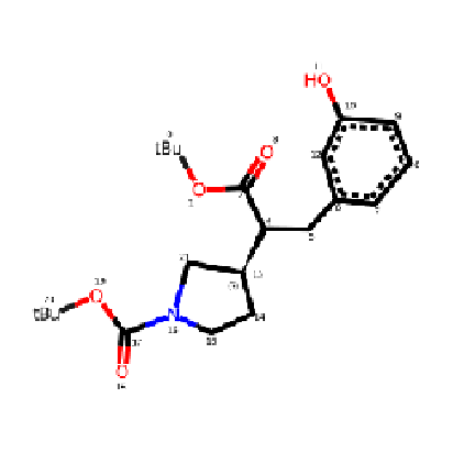 CC(C)(C)OC(=O)C(Cc1cccc(O)c1)[C@H]1CCN(C(=O)OC(C)(C)C)C1